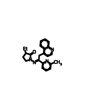 CCC1CCN(/N=C(\Cc2ccnc3ccccc23)c2cccc(C)n2)C1=O